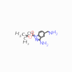 CC(C)(C)OC(=O)n1nc(N)c2cc(CN)ccc21